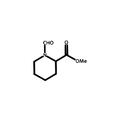 COC(=O)C1CCCCN1C=O